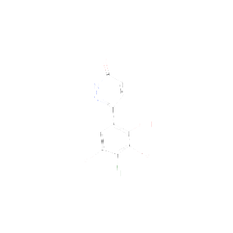 O=c1ccc(-c2cc(Br)c(Cl)c(Br)c2O)n[nH]1